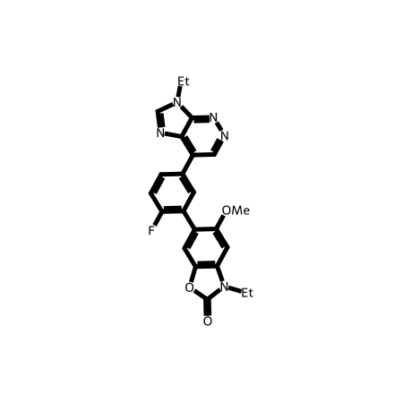 CCn1cnc2c(-c3ccc(F)c(-c4cc5oc(=O)n(CC)c5cc4OC)c3)cnnc21